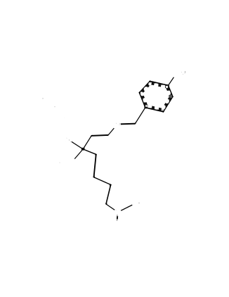 COc1ccc(CNCCC(N)(CCCCB(O)O)C(=O)O)cc1.Cl.Cl.O